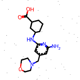 Nc1cc(CN2CCOCC2)cc(NC2CCCC(C(=O)O)C2)n1